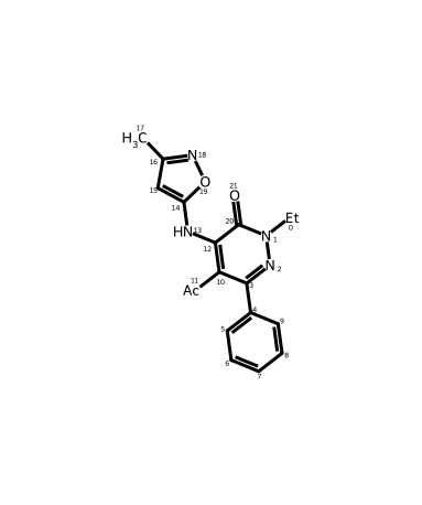 CCn1nc(-c2ccccc2)c(C(C)=O)c(Nc2cc(C)no2)c1=O